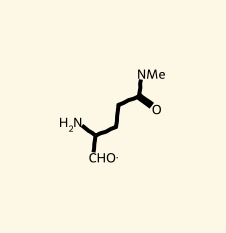 CNC(=O)CCC(N)[C]=O